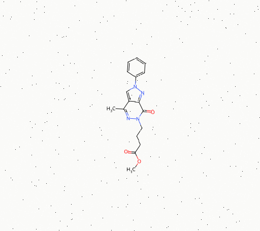 COC(=O)CCCn1nc(C)c2cn(-c3ccccc3)nc2c1=O